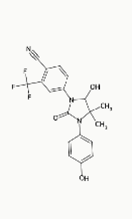 CC1(C)C(O)N(c2ccc(C#N)c(C(F)(F)F)c2)C(=O)N1c1ccc(O)cc1